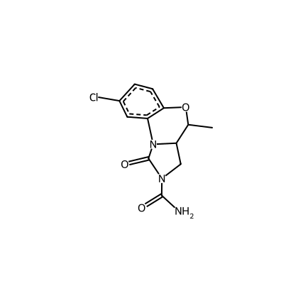 CC1Oc2ccc(Cl)cc2N2C(=O)N(C(N)=O)CC12